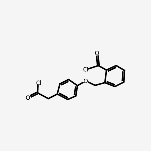 O=C(Cl)Cc1ccc(OCc2ccccc2C(=O)Cl)cc1